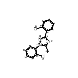 Fc1nc(-c2ccccc2Cl)nn1-c1ccccc1Cl